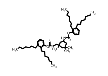 CCCCCCCc1cccc(OC(=S)NCC2(C)CC(NC(=S)Oc3cccc(CCCCCCC)c3CCCCCCC)CC(C)(C)C2)c1CCCCCCC